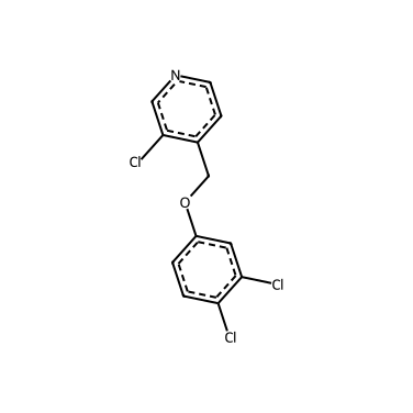 Clc1ccc(OCc2ccncc2Cl)cc1Cl